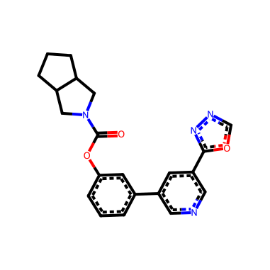 O=C(Oc1cccc(-c2cncc(-c3nnco3)c2)c1)N1CC2CCCC2C1